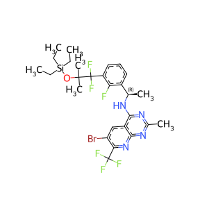 CC[Si](CC)(CC)OC(C)(C)C(F)(F)c1cccc([C@@H](C)Nc2nc(C)nc3nc(C(F)(F)F)c(Br)cc23)c1F